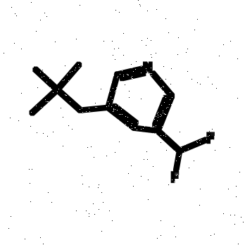 CC(C)(C)Cc1cncc(C(F)F)c1